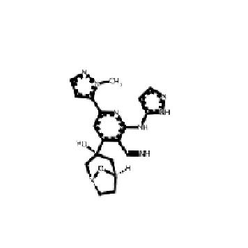 Cn1nccc1-c1cc([C@]2(O)C[C@H]3CC[N@@](C2)O3)c(C=N)c(Nc2ccn[nH]2)n1